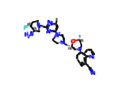 Cc1cc(N2CCN(C[C@H]3CN(c4ccc(C#N)c5ncccc45)C[C@@H](C)O3)CC2)nc(N2CC[C@@H](F)[C@H](N)C2)n1